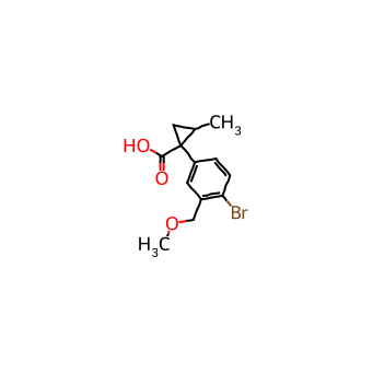 COCc1cc(C2(C(=O)O)CC2C)ccc1Br